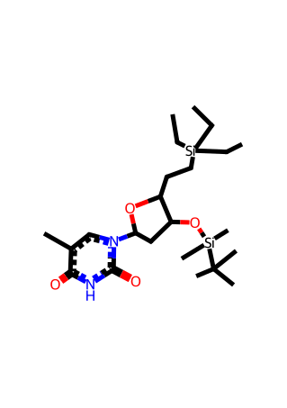 CC[Si](CC)(CC)CCC1OC(n2cc(C)c(=O)[nH]c2=O)CC1O[Si](C)(C)C(C)(C)C